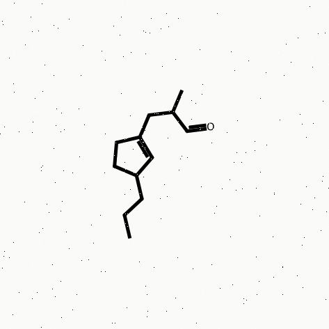 CCCC1C=C(CC(C)C=O)CC1